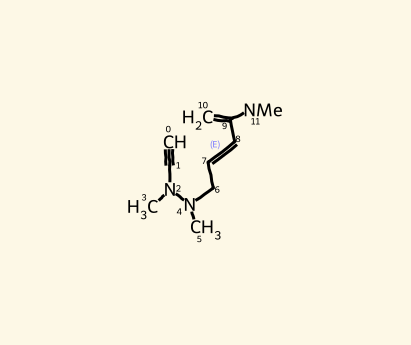 C#CN(C)N(C)C/C=C/C(=C)NC